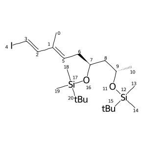 CC(/C=C/I)=C\C[C@@H](C[C@H](C)O[Si](C)(C)C(C)(C)C)O[Si](C)(C)C(C)(C)C